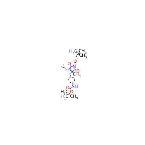 CC(C)(C)OC(=O)NC1CCC(C[C@@]2(C)C(=O)N(COCC[Si](C)(C)C)C(=O)N2CC2CC2)CC1